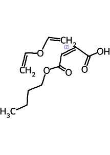 C=COC=C.CCCCOC(=O)/C=C\C(=O)O